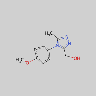 COc1ccc(-n2c(C)nnc2CO)cc1